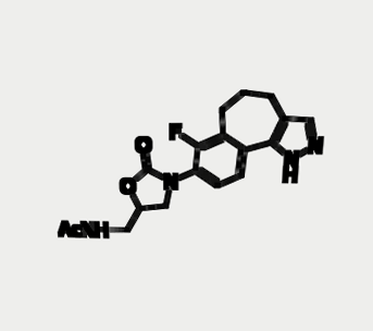 CC(=O)NCC1CN(c2ccc3c(c2F)CCCc2cn[nH]c2-3)C(=O)O1